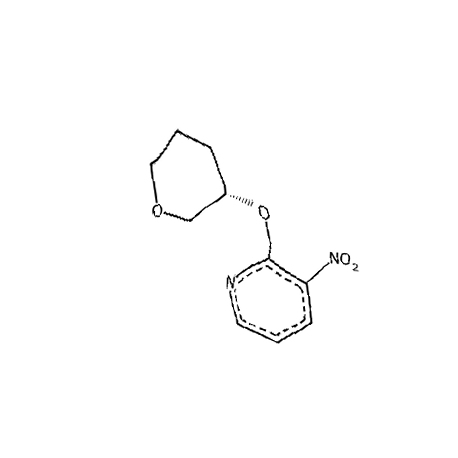 O=[N+]([O-])c1cccnc1O[C@H]1CCCOC1